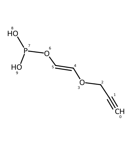 C#CCOC=COP(O)O